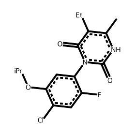 CCc1c(C)[nH]c(=O)n(-c2cc(OC(C)C)c(Cl)cc2F)c1=O